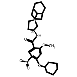 COc1cc(OC2CCCCC2)c([N+](=O)[O-])cc1C(=O)N[C@H]1CCN(C2C3CCCC2CCC3)C1